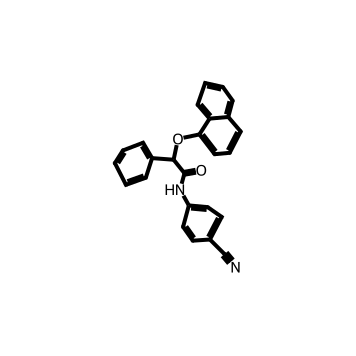 N#Cc1ccc(NC(=O)C(Oc2cccc3ccccc23)c2ccccc2)cc1